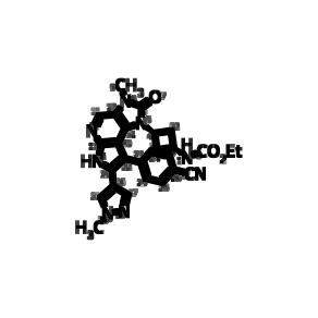 CCOC(=O)N[C@H]1C[C@@H](n2c(=O)n(C)c3cnc4[nH]c(-c5cnn(C)c5)c(-c5ccc(C#N)cc5)c4c32)C1